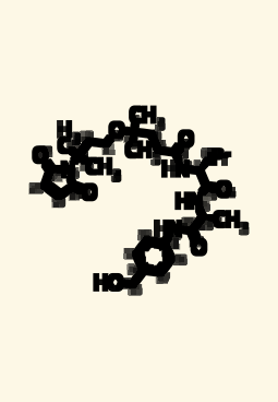 CC(C)[C@H](NC(=O)CCC(C)(C)OCCC(C)(C)N1C(=O)C=CC1=O)C(=O)N[C@@H](C)C(=O)Nc1ccc(CO)cc1